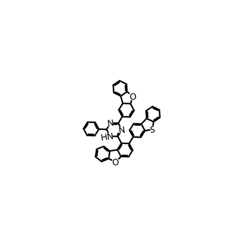 C1=CC2Oc3ccccc3C2C=C1C1=NC(c2ccccc2)NC(c2c(-c3ccc4c(c3)sc3ccccc34)ccc3oc4ccccc4c23)=N1